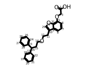 O=C(O)COc1cccc2c(CCOCCC(c3ccccc3)c3ccccc3)coc12